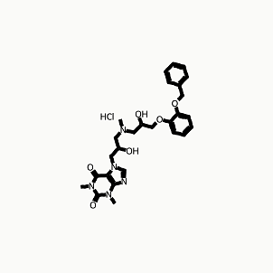 CN(CC(O)COc1ccccc1OCc1ccccc1)CC(O)Cn1cnc2c1c(=O)n(C)c(=O)n2C.Cl